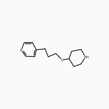 c1cc(CCCOC2CCNCC2)ccn1